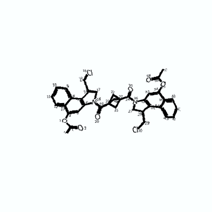 CC(=O)Oc1cc2c(c3ccccc13)C(CCl)CN2C(=O)C12CC(C(=O)N3CC(CCl)c4c3cc(OC(C)=O)c3ccccc43)(C1)C2